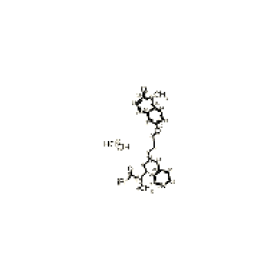 CC(C)C(=O)N(C)CCN(CCCOc1ccc2c(ccc(=O)n2C)c1)Cc1ccncc1.Cl.Cl